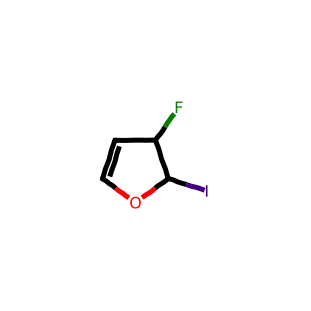 FC1C=COC1I